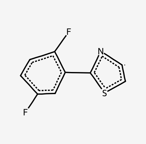 Fc1ccc(F)c(-c2n[c]cs2)c1